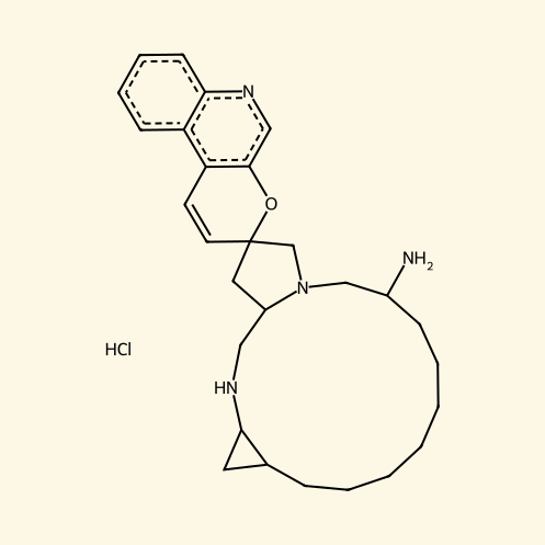 Cl.NC1CCCCCCCC2CC2NCC2CC3(C=Cc4c(cnc5ccccc45)O3)CN2C1